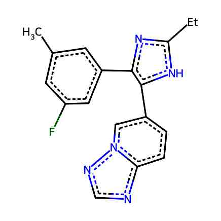 CCc1nc(-c2cc(C)cc(F)c2)c(-c2ccc3ncnn3c2)[nH]1